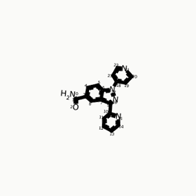 NC(=O)c1ccc2c(c1)c(-c1ccccn1)nn2-c1ccncc1